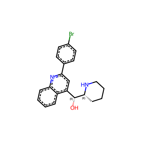 O[C@H](c1cc(-c2ccc(Br)cc2)nc2ccccc12)[C@H]1CCCCN1